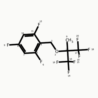 CC(OCc1c(F)cc(F)cc1F)(C(F)(F)F)C(F)(F)F